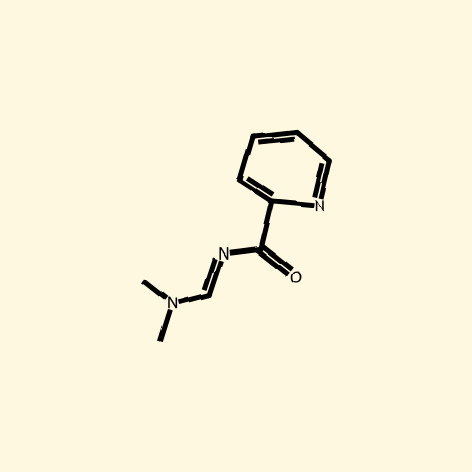 CN(C)C=NC(=O)c1ccccn1